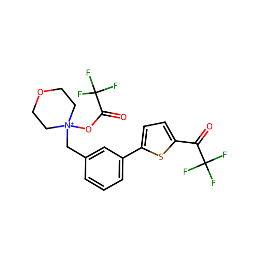 O=C(O[N+]1(Cc2cccc(-c3ccc(C(=O)C(F)(F)F)s3)c2)CCOCC1)C(F)(F)F